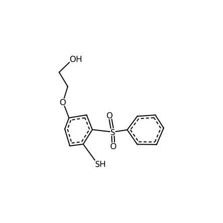 O=S(=O)(c1ccccc1)c1cc(OCCO)ccc1S